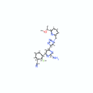 COC(C)c1cccc(Cn2cc(-c3cc(-c4cccc(C#N)c4F)nc(N)n3)nn2)n1